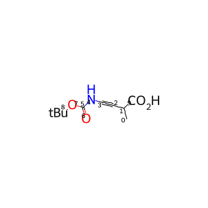 CC(C#CNC(=O)OC(C)(C)C)C(=O)O